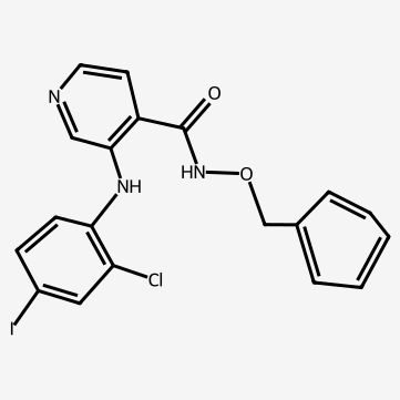 O=C(NOCc1ccccc1)c1ccncc1Nc1ccc(I)cc1Cl